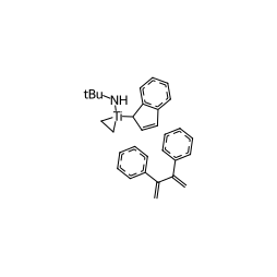 C=C(C(=C)c1ccccc1)c1ccccc1.CC(C)(C)[NH][Ti]1([CH]2C=Cc3ccccc32)[CH2][CH2]1